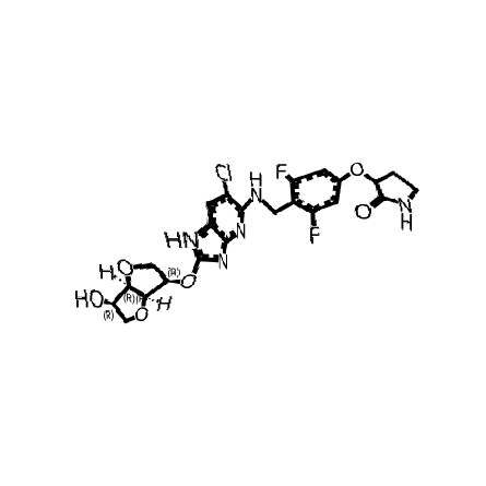 O=C1NCCC1Oc1cc(F)c(CNc2nc3nc(O[C@@H]4CO[C@H]5[C@@H]4OC[C@H]5O)[nH]c3cc2Cl)c(F)c1